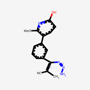 COc1nc(O)ccc1-c1cccc(C(/N=N\N)=C(/C)C#N)c1